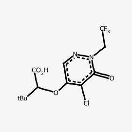 CC(C)(C)C(Oc1cnn(CC(F)(F)F)c(=O)c1Cl)C(=O)O